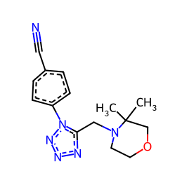 CC1(C)COCCN1Cc1nnnn1-c1ccc(C#N)cc1